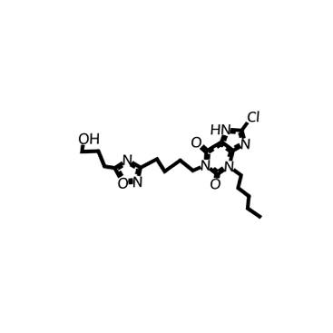 CCCCCn1c(=O)n(CCCCc2noc(CCCO)n2)c(=O)c2[nH]c(Cl)nc21